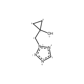 OC1(Cn2ncnn2)CC1